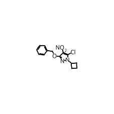 O=[N+]([O-])c1c(OCc2ccccc2)nn(C2CCC2)c1Cl